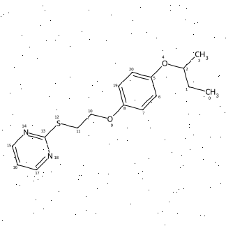 CCC(C)Oc1ccc(OCCSc2ncccn2)cc1